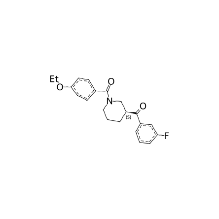 CCOc1ccc(C(=O)N2CCC[C@H](C(=O)c3cccc(F)c3)C2)cc1